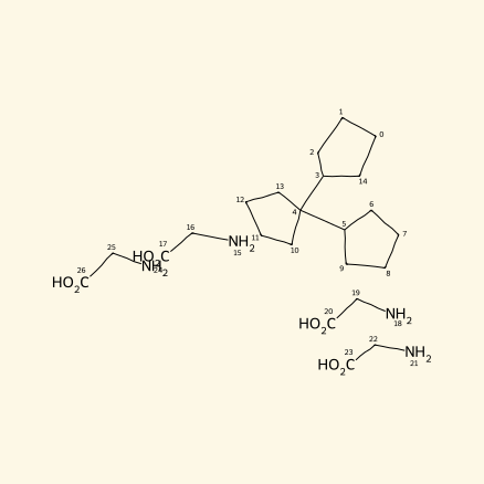 C1CCC(C2(C3CCCC3)CCCC2)C1.NCC(=O)O.NCC(=O)O.NCC(=O)O.NCC(=O)O